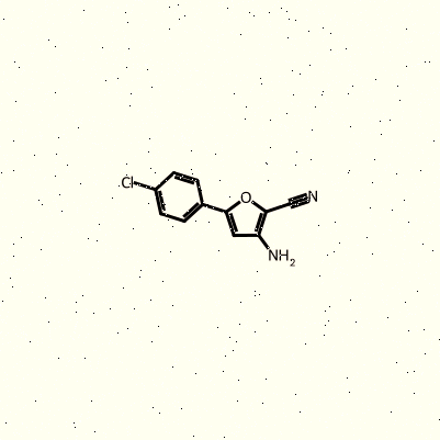 N#Cc1oc(-c2ccc(Cl)cc2)cc1N